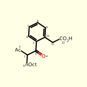 CCCCCCCCC(C(C)=O)C(=O)c1ccccc1CC(=O)O